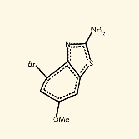 COc1cc(Br)c2nc(N)sc2c1